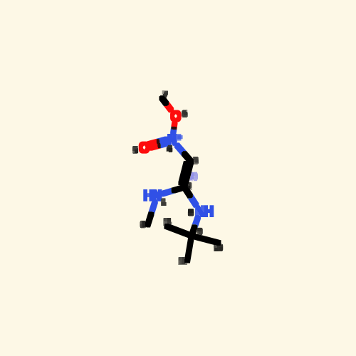 CN/C(=C\[N+](=O)OC)NC(C)(C)C